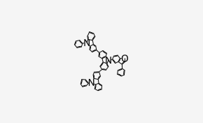 c1ccc(-c2coc3ccc(-n4c5ccc(-c6ccc7c(c6)c6ccccc6n7-c6ccccc6)cc5c5cc(-c6ccc7c(c6)c6ccccc6n7-c6ccccc6)ccc54)cc23)cc1